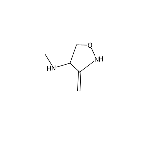 C=C1NOCC1NC